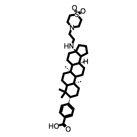 CC1(C)C2CC[C@@]3(C)C4CC[C@@]5(NCCN6CCS(=O)(=O)CC6)CCCC5[C@H]4CCC3[C@@]2(C)CC[C@@H]1c1ccc(C(=O)O)cc1